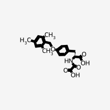 Cc1cc(C)c(COc2ccc(C[C@@H](NC(=O)C(=O)O)C(=O)O)cc2)c(C)c1